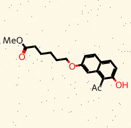 COC(=O)CCCCCOc1ccc2ccc(O)c(C(C)=O)c2c1